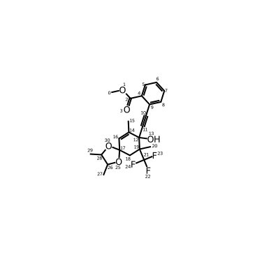 COC(=O)c1ccccc1C#CC1(O)C(C)=CC2(CC1(C)C(F)(F)F)OC(C)C(C)O2